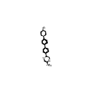 CCCCC1COC(c2ccc(-c3ccc(C4CCC(CCC)CC4)cc3)cc2)CO1